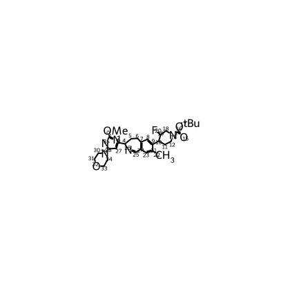 COc1nc(C2CCc3cc(C4CCN(C(=O)OC(C)(C)C)CC4F)c(C)cc3C=N2)cc(N2CCOCC2)n1